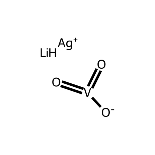 [Ag+].[LiH].[O]=[V](=[O])[O-]